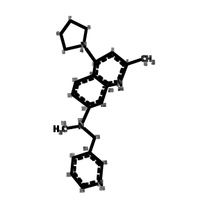 Cc1cc(N2CCCC2)c2ccc(N(C)Cc3cccnc3)cc2n1